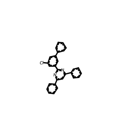 Clc1cc(-c2ccccc2)cc(-c2nc(-c3ccccc3)cc(-c3ccccc3)n2)c1